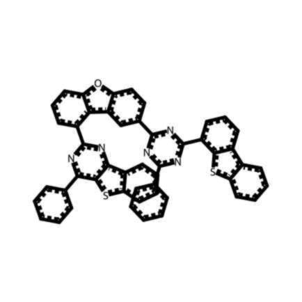 c1ccc(-c2nc(-c3ccc4oc5cccc(-c6nc(-c7ccccc7)c7sc8ccccc8c7n6)c5c4c3)nc(-c3cccc4c3sc3ccccc34)n2)cc1